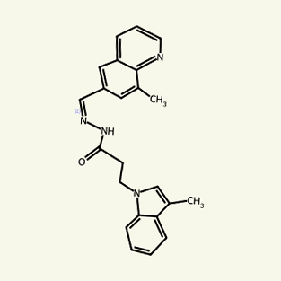 Cc1cn(CCC(=O)N/N=C\c2cc(C)c3ncccc3c2)c2ccccc12